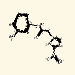 O=C(Cn1cnc([N+](=O)[O-])n1)Nc1cccc(O)c1